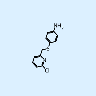 Nc1ccc(SCc2cccc(Cl)n2)cc1